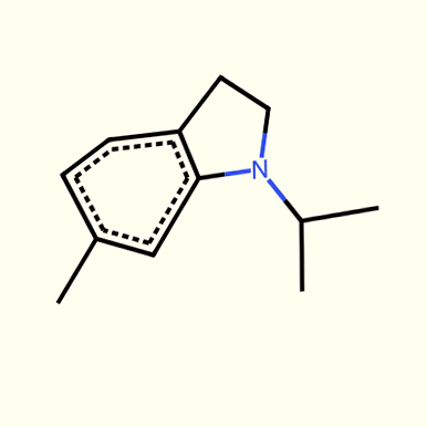 Cc1ccc2c(c1)N(C(C)C)CC2